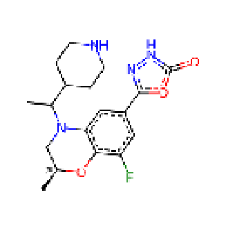 CC(C1CCNCC1)N1C[C@H](C)Oc2c(F)cc(-c3n[nH]c(=O)o3)cc21